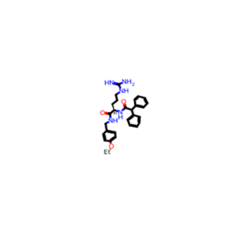 CCOc1ccc(CNC(=O)[C@@H](CCCNC(=N)N)NC(=O)C(c2ccccc2)c2ccccc2)cc1